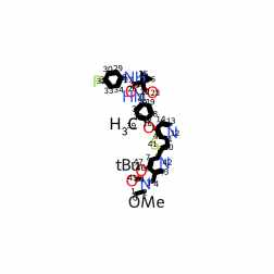 COCCN(Cc1ccc(-c2cc3nccc(Oc4ccc(NC(=O)C5(C(=O)Nc6ccc(F)cc6)CC5)cc4C)c3s2)nc1)C(=O)OC(C)(C)C